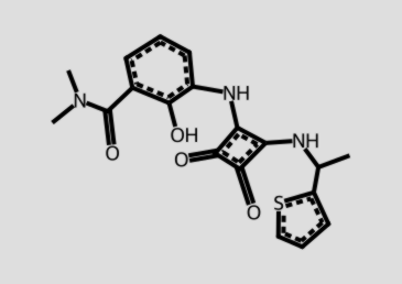 CC(Nc1c(Nc2cccc(C(=O)N(C)C)c2O)c(=O)c1=O)c1cccs1